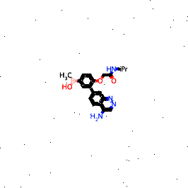 CB(O)c1ccc(OCC(=O)NC(C)C)c(-c2ccc3c(N)cnnc3c2)c1